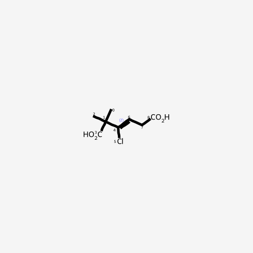 CC(C)(C(=O)O)/C(Cl)=C/CC(=O)O